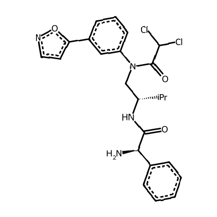 CC(C)[C@@H](CN(C(=O)C(Cl)Cl)c1cccc(-c2ccno2)c1)NC(=O)[C@H](N)c1ccccc1